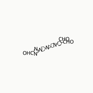 O=Cc1cnc(N2CCC(N3CC4(CCN(c5ccc(C=O)c(C=O)c5)CC4)C3)CC2)cn1